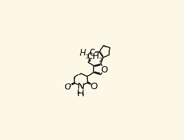 C=Cc1c(C2CCC(=O)NC2=O)coc1C1=C(C)CCC1